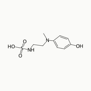 CN(CCNS(=O)(=O)O)c1ccc(O)cc1